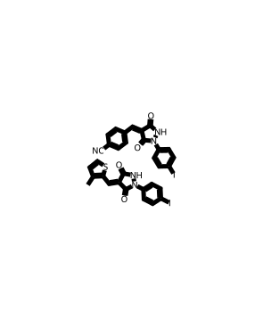 Cc1ccsc1C=C1C(=O)NN(c2ccc(I)cc2)C1=O.N#Cc1ccc(C=C2C(=O)NN(c3ccc(I)cc3)C2=O)cc1